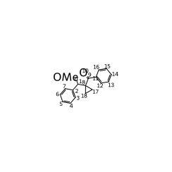 COC(c1ccccc1)C1(C(=O)c2ccccc2)CC1